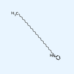 CCCCCCCCCCCCCCCCCCCCCCCCCCCCNc1ccccc1